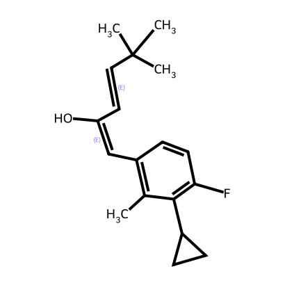 Cc1c(/C=C(O)\C=C\C(C)(C)C)ccc(F)c1C1CC1